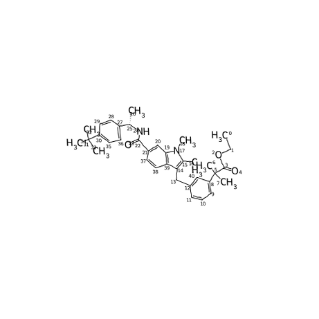 CCOC(=O)C(C)(C)c1cccc(Cc2c(C)n(C)c3cc(C(=O)N[C@@H](C)c4ccc(C(C)(C)C)cc4)ccc23)c1